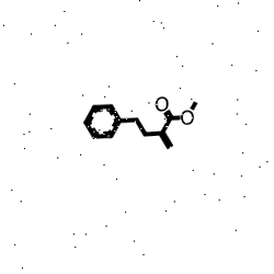 C=C(CCc1ccccc1)C(=O)OC